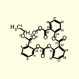 CCOC(=O)c1ccccc1OC(=O)Oc1ccccc1C(=O)Oc1ccccc1C(=O)OC